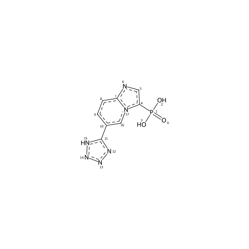 O=P(O)(O)c1cnc2ccc(-c3nnn[nH]3)cn12